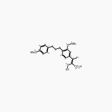 CCCCOc1cc(C(F)=C(OCC)C(=O)O)ccc1CCCc1ccc(OC)cc1